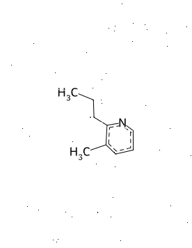 CC[CH]c1ncccc1C